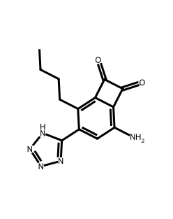 CCCCc1c(-c2nnn[nH]2)cc(N)c2c(=O)c(=O)c12